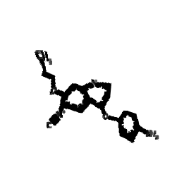 [C-]#[N+]c1cc2c(Oc3ccc(N)cc3)ccnc2cc1OCCC